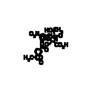 Cc1cc(=O)oc2cc(NC(=O)OCC3=C(C(=O)O)N4C(=O)[C@H]([C@@H](C)O)[C@@H]4[C@@]3(C)Cc3ccc([N+](=O)[O-])cc3)ccc12